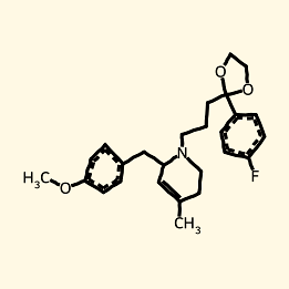 COc1ccc(CC2C=C(C)CCN2CCCC2(c3ccc(F)cc3)OCCO2)cc1